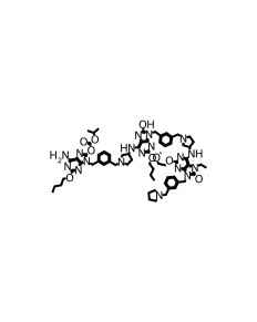 CCCCOc1nc(NC2CCN(Cc3cccc(Cn4c(OC(=O)OC(C)C)nc5c(N)nc(OCCCC)nc54)c3)C2)c2nc(O)n(Cc3cccc(CN4CCC(Nc5nc(OCCOC)nc6c5n(CC)c(=O)n6Cc5cccc(CN6CCCC6)c5)C4)c3)c2n1